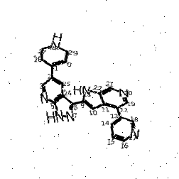 C1=C(c2cnc3[nH]nc(-c4cc5c(-c6cccnc6)cncc5[nH]4)c3c2)CCNC1